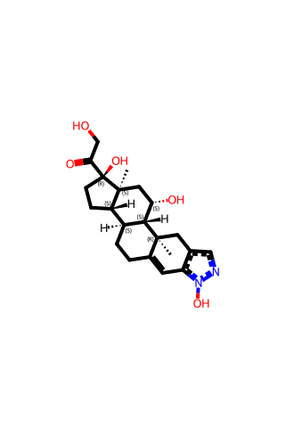 C[C@]12Cc3cnn(O)c3C=C1CC[C@@H]1[C@@H]2[C@@H](O)C[C@@]2(C)[C@H]1CC[C@]2(O)C(=O)CO